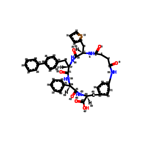 O=C1CCC(=O)N[C@H](Cc2cccs2)C(=O)N[C@@H](Cc2ccc(-c3ccccc3)cc2)C(=O)N[C@H](c2ccccc2)C(=O)N[C@H](C(=O)O)Cc2ccc(cc2)N1